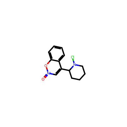 O=[n+]1cc(C2CCCCN2Cl)c2ccccc2o1